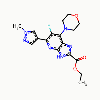 CCOC(=O)c1nc2c(N3CCOCC3)c(F)c(-c3cnn(C)c3)nc2[nH]1